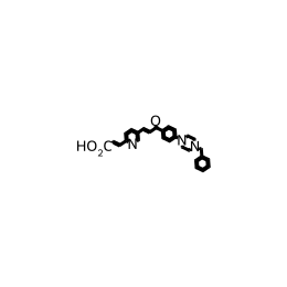 O=C(O)C=Cc1ccc(C=CC(=O)c2ccc(N3CCN(Cc4ccccc4)CC3)cc2)cn1